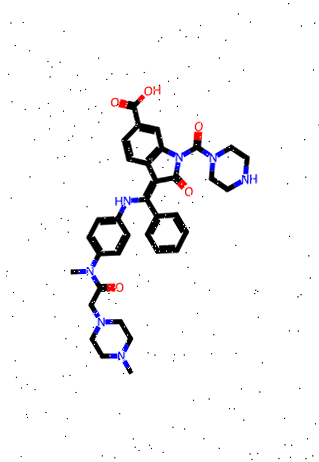 CN1CCN(CC(=O)N(C)c2ccc(NC(=C3C(=O)N(C(=O)N4CCNCC4)c4cc(C(=O)O)ccc43)c3ccccc3)cc2)CC1